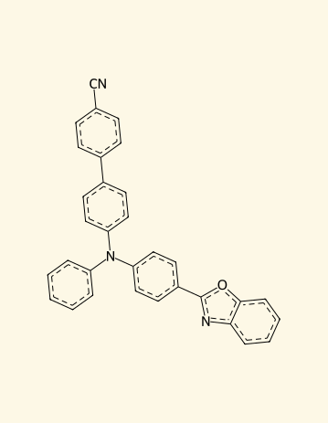 N#Cc1ccc(-c2ccc(N(c3ccccc3)c3ccc(-c4nc5ccccc5o4)cc3)cc2)cc1